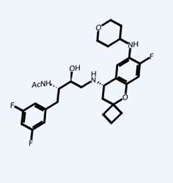 CC(=O)N[C@@H](Cc1cc(F)cc(F)c1)[C@@H](O)CN[C@H]1CC2(CCC2)Oc2cc(F)c(NC3CCOCC3)cc21